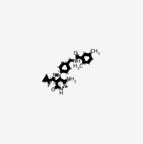 Cc1ccc(C)c(C(=O)NCc2ccc(-n3nc(C4(F)CC4)c4c(=O)[nH]nc(N)c43)cc2)c1